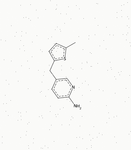 Cc1ccc(Cc2ccc(N)nc2)s1